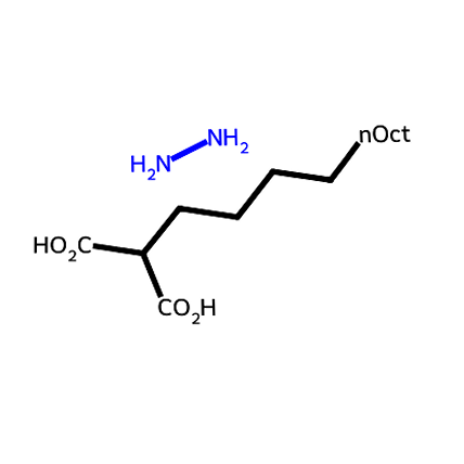 CCCCCCCCCCCCC(C(=O)O)C(=O)O.NN